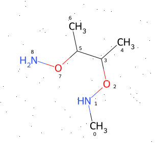 CNOC(C)C(C)ON